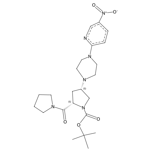 CC(C)(C)OC(=O)N1C[C@@H](N2CCN(c3ccc([N+](=O)[O-])cn3)CC2)C[C@H]1C(=O)N1CCCC1